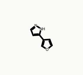 c1cc(-c2ccoc2)[nH]n1